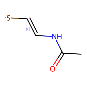 CC(=O)N/C=C/[S]